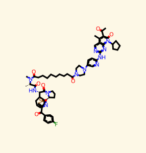 CC(=O)c1c(C)c2cnc(Nc3ccc(N4CCN(C(=O)CCCCCCCCC(=O)N(C)[C@@H](C)C(=O)N[C@H](C(=O)N5CCC[C@H]5c5nc(C(=O)c6ccc(F)cc6)cs5)C5CCCCC5)CC4)cn3)nc2n(C2CCCC2)c1=O